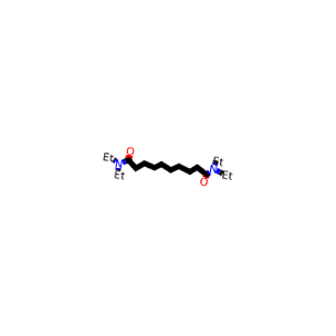 CCN(CC)C(=O)CCCCCCCCC(=O)N(CC)CC